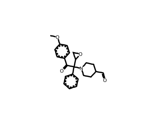 COc1ccc(C(=O)C(c2ccccc2)(C2CO2)N2CCC(C=O)CC2)cc1